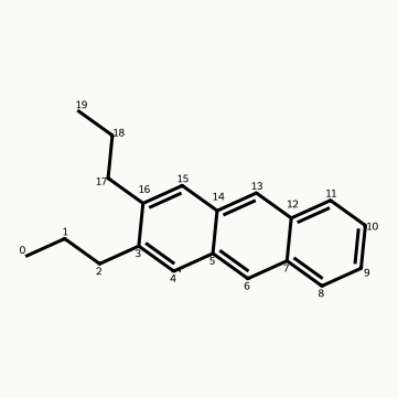 CCCc1[c]c2cc3ccccc3cc2cc1CCC